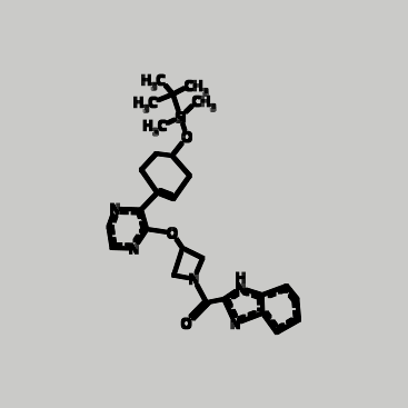 CC(C)(C)[Si](C)(C)OC1CC=C(c2nccnc2OC2CN(C(=O)c3nc4ccccc4[nH]3)C2)CC1